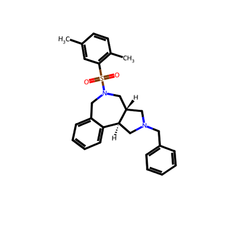 Cc1ccc(C)c(S(=O)(=O)N2Cc3ccccc3[C@@H]3CN(Cc4ccccc4)C[C@H]3C2)c1